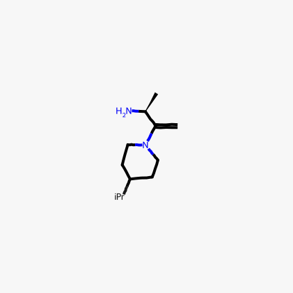 C=C([C@H](C)N)N1CCC(C(C)C)CC1